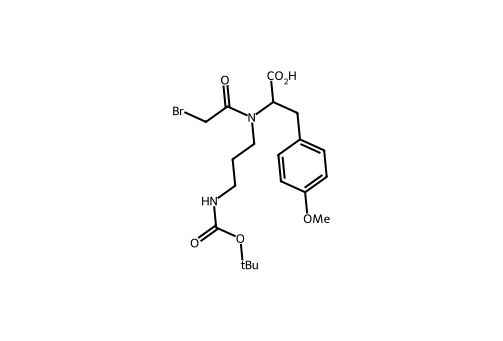 COc1ccc(CC(C(=O)O)N(CCCNC(=O)OC(C)(C)C)C(=O)CBr)cc1